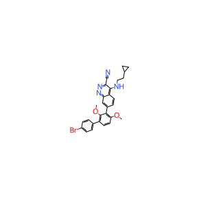 COc1ccc(-c2ccc(Br)cc2)c(OC)c1-c1ccc2c(NCCC3CC3)c(C#N)nnc2c1